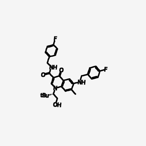 Cc1cc2c(cc1NCc1ccc(F)cc1)c(=O)c(C(=O)NCc1ccc(F)cc1)cn2[C@H](CO)C(C)(C)C